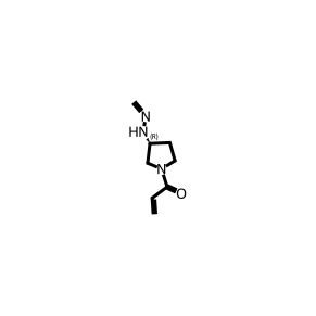 C=CC(=O)N1CC[C@@H](NN=C)C1